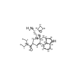 CCN(CC)C(=O)[C@@H]1C=C2c3cccc4[nH]cc(c34)C[C@H]2N(C)C1.NC[C@@H]1CCO1